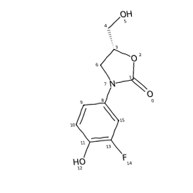 O=C1O[C@@H](CO)CN1c1ccc(O)c(F)c1